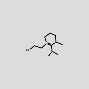 CN(C)C1=[N+](CCO)CCCN1C